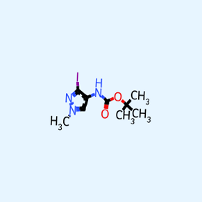 Cn1cc(NC(=O)OC(C)(C)C)c(I)n1